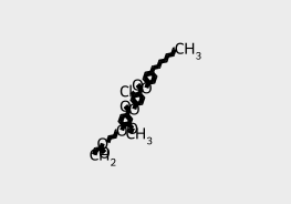 C=CC(=O)OCCCCOc1ccc(C(=O)Oc2ccc(C(=O)Oc3ccc(CCCCCCCC)cc3)c(Cl)c2)cc1OC